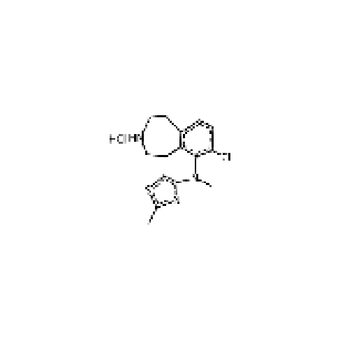 Cc1nc(N(C)c2c(Cl)ccc3c2CCNCC3)cs1.Cl